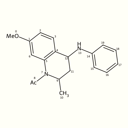 COc1ccc2c(c1)N(C(C)=O)C(C)CC2Nc1ccccc1